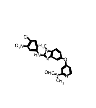 CN(C=O)c1cc(Oc2ccc3c(c2)nc(Nc2ccc(Cl)c([N+](=O)[O-])c2)n3C)ccn1